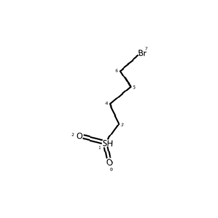 O=[SH](=O)CCCCBr